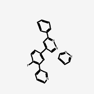 Fc1ccc(-c2cnnc(-c3ccccc3)c2)cc1-c1cccnc1.c1ccnnc1